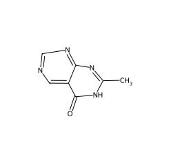 Cc1nc2ncncc2c(=O)[nH]1